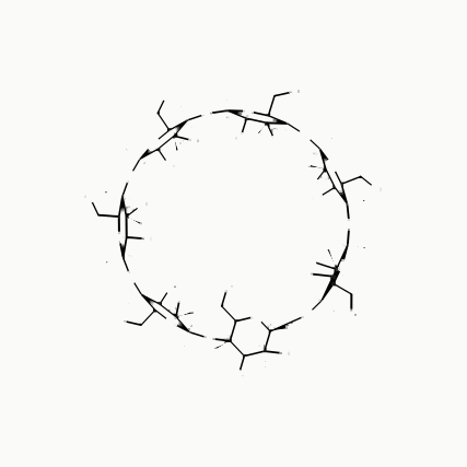 C[C@H]1C(O)[C@@H]2O[C@H]3OC(CO)[C@@H](O[C@H]4OC(CO)[C@@H](O[C@H]5OC(CO)[C@@H](O[C@H]6OC(CO)[C@@H](O[C@H]7OC(CO)[C@@H](O[C@H]8OC(CO)[C@@H](O[C@H]1OC2CO)C(O)[C@@H]8O)[C@H](O)C7O)[C@H](O)C6O)[C@H](O)C5O)C(O)[C@@H]4O)C(O)[C@@H]3O